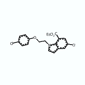 CCOC(=O)c1cc(Cl)cc2ccn(CCOc3ccc(Cl)cc3)c12